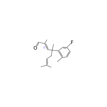 CC(C)=CCC(C)(/C=C(\C)C=O)c1cc(F)ccc1C